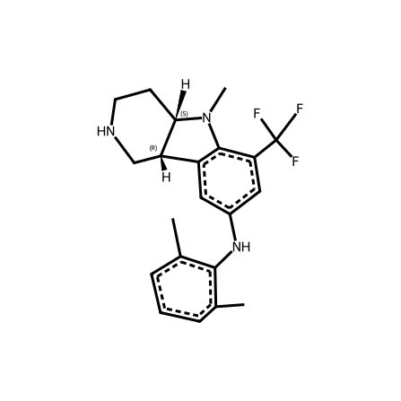 Cc1cccc(C)c1Nc1cc2c(c(C(F)(F)F)c1)N(C)[C@H]1CCNC[C@@H]21